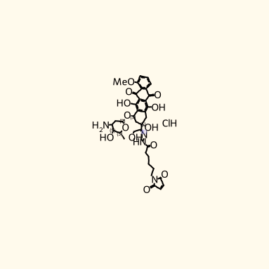 COc1cccc2c1C(=O)c1c(O)c3c(c(O)c1C2=O)C[C@@](O)(/C(CO)=N/NC(=O)CCCCCN1C(=O)C=CC1=O)C[C@@H]3O[C@H]1CC(N)[C@H](O)[C@H](C)O1.Cl